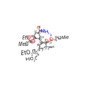 C#Cc1cc(C(CC(=O)O)C(=O)OCC)cc(-c2cc(C(N)=O)ccc2OC(OC)OCC)c1OCOCCOC